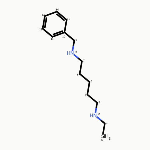 [SiH3]CNCCCCCNCc1ccccc1